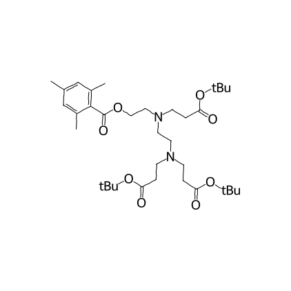 Cc1cc(C)c(C(=O)OCCN(CCC(=O)OC(C)(C)C)CCN(CCC(=O)OC(C)(C)C)CCC(=O)OC(C)(C)C)c(C)c1